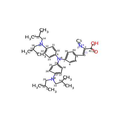 [C-]#[N+]/C(=C\c1ccc(N(c2ccc(N(CC(C)C)CC(C)C)cc2)c2ccc(N(CC(C)C)CC(C)C)cc2)cc1)C(=O)O